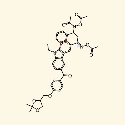 CCn1c2ccc(C(=O)c3ccc(OCC4COC(C)(C)O4)cc3)cc2c2cc(/C(CC(c3ccccc3)N(OC(C)=O)C(C)=O)=N/OC(C)=O)ccc21